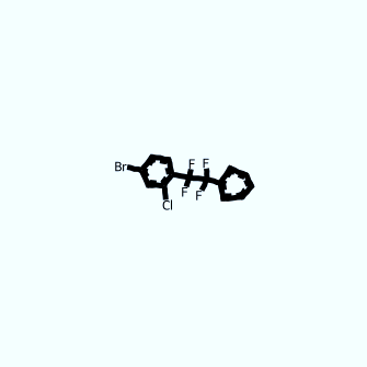 FC(F)(c1ccccc1)C(F)(F)c1ccc(Br)cc1Cl